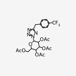 CC(=O)OCC1OC(n2nnc(Cc3ccc(C(F)(F)F)cc3)n2)C(OC(C)=O)C(OC(C)=O)C1OC(C)=O